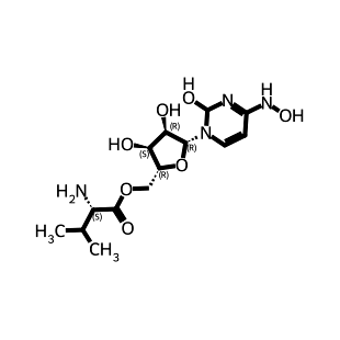 CC(C)[C@H](N)C(=O)OC[C@H]1O[C@@H](N2C=CC(NO)=NC2O)[C@H](O)[C@@H]1O